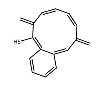 C=c1ccccc(=C)c(S)c2ccccc2c1